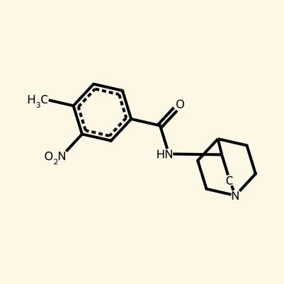 Cc1ccc(C(=O)NC2CN3CCC2CC3)cc1[N+](=O)[O-]